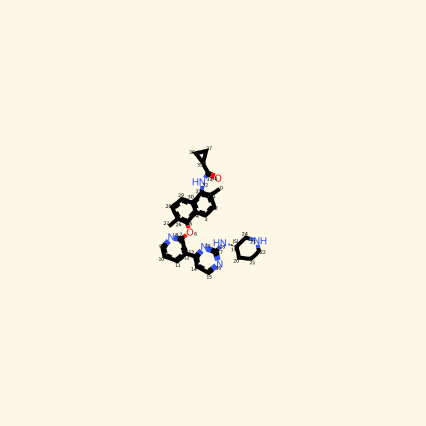 Cc1ccc2c(Oc3ncccc3-c3ccnc(N[C@H]4CCCNC4)n3)c(C)ccc2c1NC(=O)C1CC1